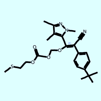 CSCCOC(=O)OCO/C(=C(/C#N)c1ccc(C(C)(C)C)cc1)c1c(C)c(C)nn1C